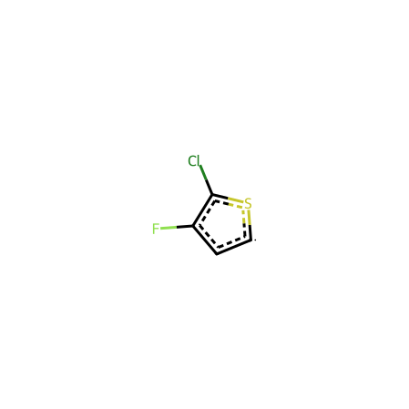 Fc1c[c]sc1Cl